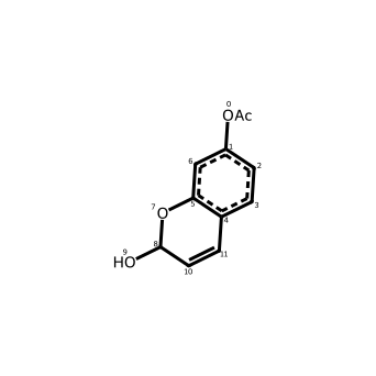 CC(=O)Oc1ccc2c(c1)OC(O)C=C2